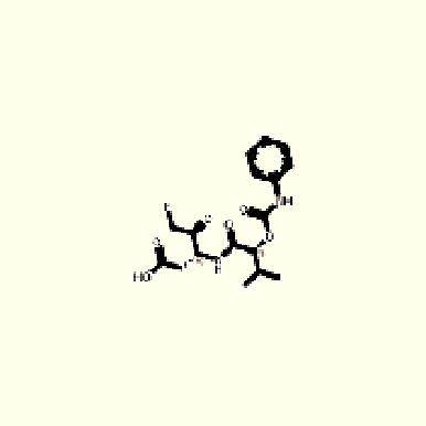 CC(C)[C@H](OC(=O)Nc1ccccc1)C(=O)N[C@H](CC(=O)O)C(=O)CF